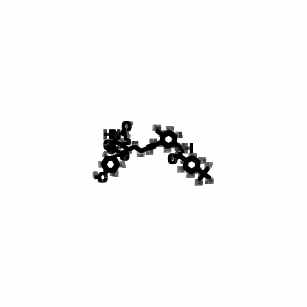 COc1ccc(S(=O)(=O)C2(CCCC#Cc3cc(NC(=O)c4ccc(C(C)(C)C)cc4)ccc3C)SC(=O)NC2=O)cc1